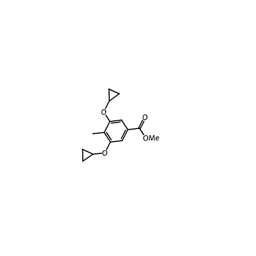 COC(=O)c1cc(OC2CC2)c(C)c(OC2CC2)c1